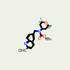 C[C@H]1CC(N(Cc2ccc3nc(C=O)ccc3c2)C(=O)OC(C)(C)C)C[C@H](C)O1